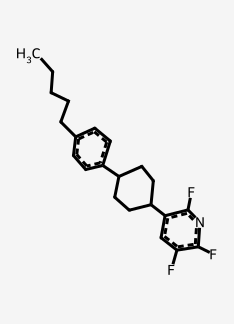 CCCCCc1ccc(C2CCC(c3cc(F)c(F)nc3F)CC2)cc1